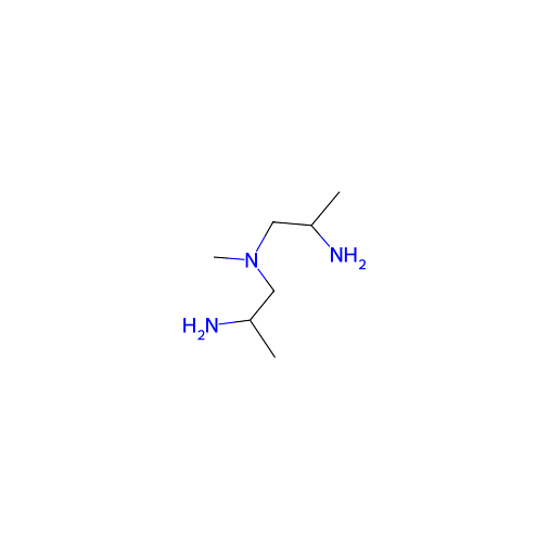 CC(N)CN(C)CC(C)N